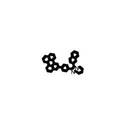 C1=Cc2cccc3c2c(c2c4c(cc(-c5ccc(-c6nc7ccccn7c6-c6ccc7ccccc7c6)cc5)cc43)C=CC2)C1